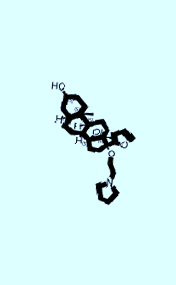 C[C@]12CC[C@H](O)C[C@@H]1CC[C@@H]1[C@@H]2CC[C@]2(C)[C@@](OCCN3CCCC3)(c3ccco3)CC[C@]12O